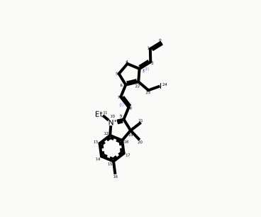 C=C/C=C1\CCC(/C=C/C2=[N+](CC)c3ccc(C)cc3C2(C)C)=C1CI